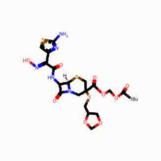 CC(C)(C)C(=O)OCOC(=O)C1(SCC2COCO2)CS[C@@H]2C(NC(=O)C(=NO)c3csc(N)n3)C(=O)N2C1